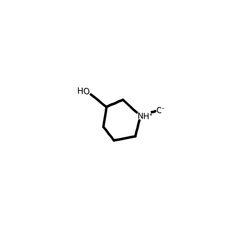 [CH2-][NH+]1CCCC(O)C1